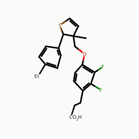 CCc1ccc(C2SC=CC2(C)COc2ccc(CCC(=O)O)c(F)c2F)cc1